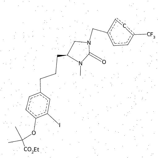 CCOC(=O)C(C)(C)Oc1ccc(CCC[C@H]2CN(Cc3ccc(C(F)(F)F)cc3)C(=O)N2C)cc1I